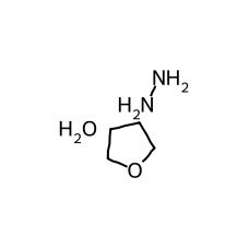 C1CCOC1.NN.O